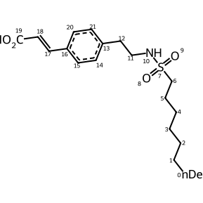 CCCCCCCCCCCCCCCCS(=O)(=O)NCCc1ccc(/C=C/C(=O)O)cc1